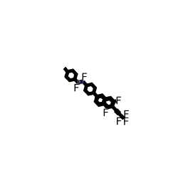 CC1CCC(/C(F)=C(\F)C2CCC(c3ccc4c(F)c(C#CC(F)(F)F)c(F)cc4c3)CC2)CC1